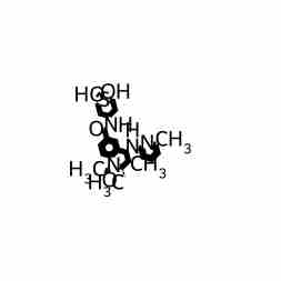 CC[C@H]1[C@H](C)[C@@H](Nc2cccc(C)n2)c2cc(C(=O)NC3CCS(O)(O)CC3)ccc2N1C(C)=O